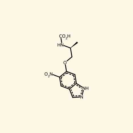 C[C@@H](COc1cc2[nH]ncc2cc1[N+](=O)[O-])NC(=O)O